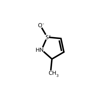 CC1C=C[S+]([O-])N1